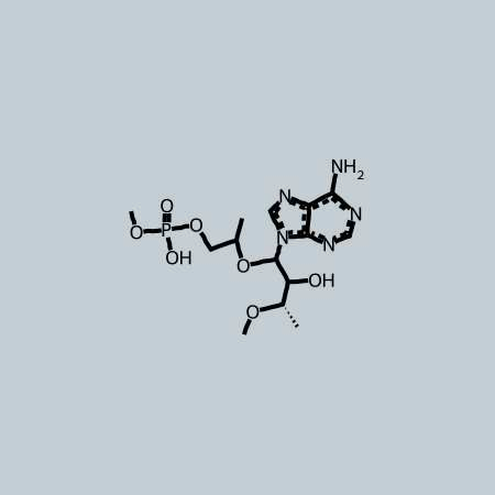 CO[C@@H](C)C(O)C(OC(C)COP(=O)(O)OC)n1cnc2c(N)ncnc21